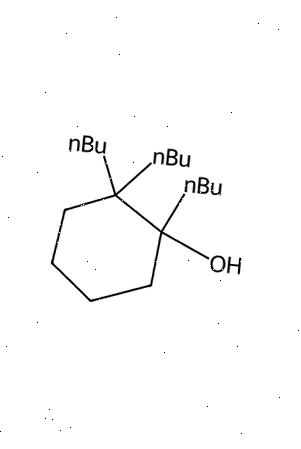 CCCCC1(O)CCCCC1(CCCC)CCCC